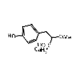 COC(Cc1ccc(O)cc1)C(=O)O.[CaH2]